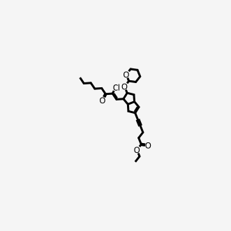 CCCCCC(=O)C(Cl)=CC1C(OC2CCCCO2)CC2C=C(C#CCCC(=O)OCC)CC21